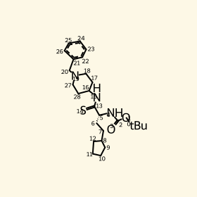 CC(C)(C)OC(=O)N[C@H](CCC1CCCC1)C(=S)NC1CCN(Cc2ccccc2)CC1